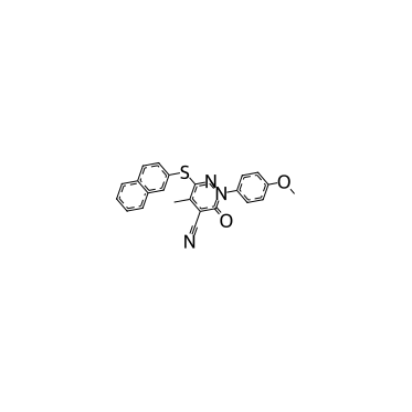 COc1ccc(-n2nc(Sc3ccc4ccccc4c3)c(C)c(C#N)c2=O)cc1